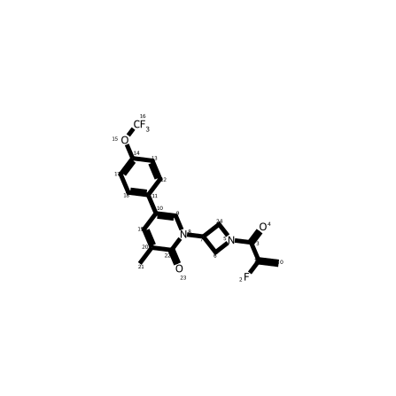 C=C(F)C(=O)N1CC(n2cc(-c3ccc(OC(F)(F)F)cc3)cc(C)c2=O)C1